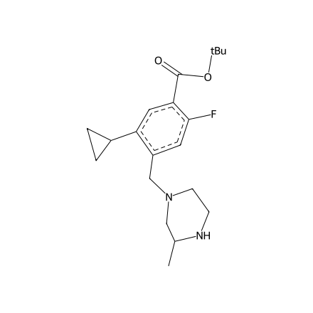 CC1CN(Cc2cc(F)c(C(=O)OC(C)(C)C)cc2C2CC2)CCN1